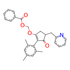 Cc1cc(C)c(C2=C(OCOC(=O)c3ccccc3)CC(Cc3ccccn3)C2=O)c(C)c1